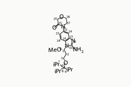 CO[C@@H](CCO[Si](C(C)C)(C(C)C)C(C)C)n1c(N)nc2cc(N3CCOCC3=O)ccc21